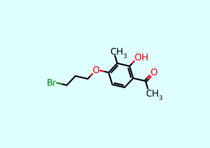 CC(=O)c1ccc(OCCCBr)c(C)c1O